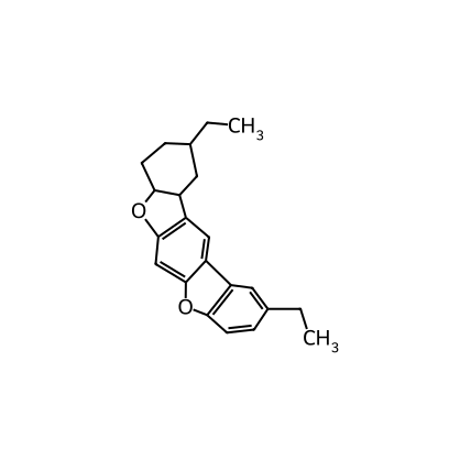 CCc1ccc2oc3cc4c(cc3c2c1)C1CC(CC)CCC1O4